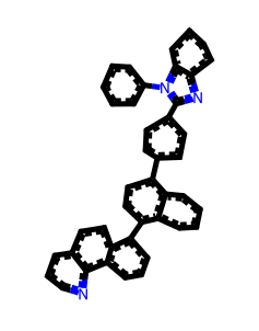 c1ccc(-n2c(-c3ccc(-c4ccc(-c5cccc6c5ccc5cccnc56)c5ccccc45)cc3)nc3ccccc32)cc1